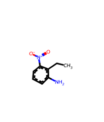 CCc1c(N)cccc1[N+](=O)[O-]